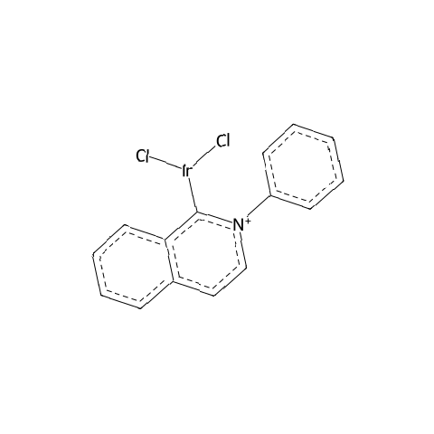 [Cl][Ir]([Cl])[c]1c2ccccc2cc[n+]1-c1ccccc1